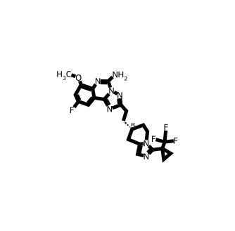 COc1cc(F)cc2c1nc(N)n1nc(CC[C@@H]3CCn4c(cnc4C4(C(F)(F)F)CC4)C3)nc21